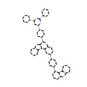 c1ccc(-c2cc(-c3ccc(-c4nc5ccc(-c6ccc(-c7cccc8oc9ccccc9c78)cc6)cc5c5c4sc4ccccc45)cc3)nc(-c3ccccc3)n2)cc1